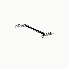 CCCCCCCCCCCCCCCCCCCCCCCC=CC(=O)OC